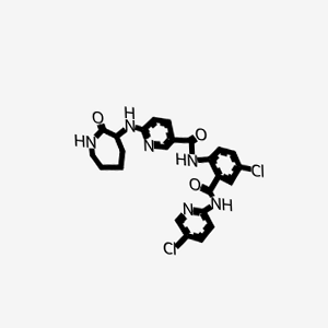 O=C(Nc1ccc(Cl)cc1C(=O)Nc1ccc(Cl)cn1)c1ccc(NC2CCCCNC2=O)nc1